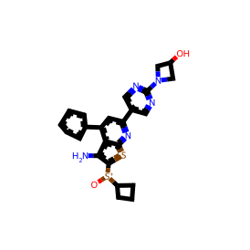 Nc1c([S+]([O-])C2CCC2)sc2nc(-c3cnc(N4CC(O)C4)nc3)cc(-c3ccccc3)c12